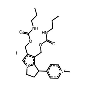 CCCNC(=O)OCc1cn2c(c1COC(=O)NCCC)C(c1cc[n+](C)cc1)CC2.[I-]